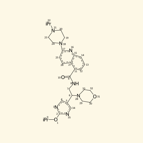 CC(C)Oc1ncc(C(CNC(=O)c2cccc3nc(N4CCN(C(C)C)CC4)ccc23)N2CCOCC2)cn1